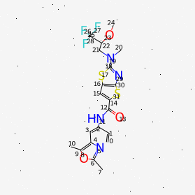 C=C/C(=C\c1nc(C)oc1C)NC(=O)c1cc2sc(N(C)CC(OC)C(F)(F)F)nc2s1